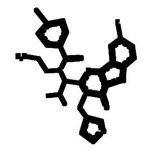 Cc1ccc(C(=O)N(CCN)C(c2nc3c(oc4ccc(F)cc43)c(=O)n2Cc2ccoc2)C(C)C)cc1